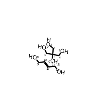 CC(CO)(CO)CO.OCC=CCO